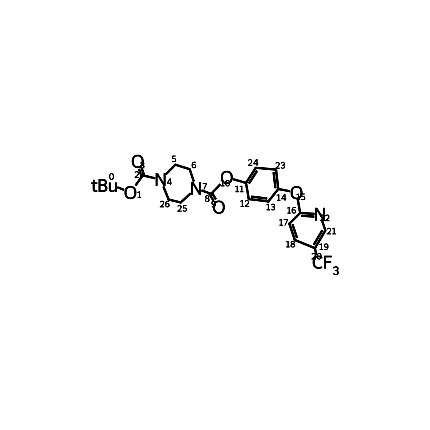 CC(C)(C)OC(=O)N1CCN(C(=O)Oc2ccc(Oc3ccc(C(F)(F)F)cn3)cc2)CC1